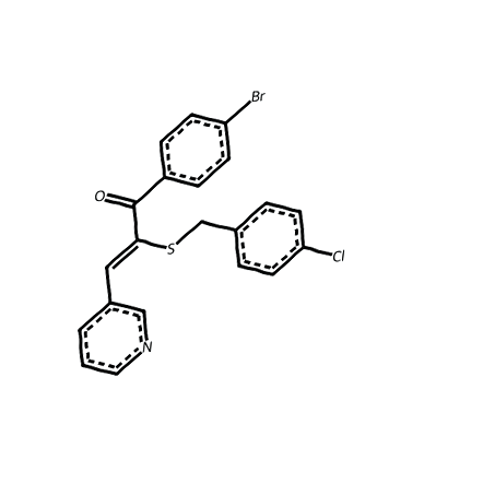 O=C(C(=Cc1cccnc1)SCc1ccc(Cl)cc1)c1ccc(Br)cc1